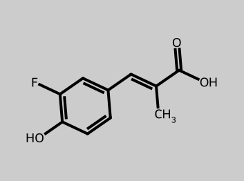 C/C(=C\c1ccc(O)c(F)c1)C(=O)O